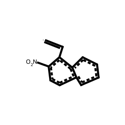 [CH]=Cc1c([N+](=O)[O-])ccc2ccccc12